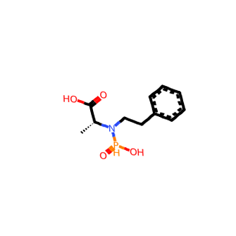 C[C@H](C(=O)O)N(CCc1ccccc1)[PH](=O)O